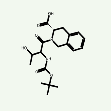 CC(O)C(NC(=O)OC(C)(C)C)C(=O)N1Cc2ccccc2C[C@H]1C(=O)O